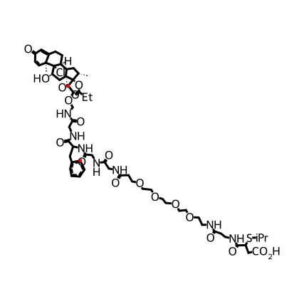 CCC(=O)O[C@]1(C(=O)COCNC(=O)CNC(=O)C(Cc2ccccc2)NC(=O)CNC(=O)CNC(=O)CCOCCOCCOCCOCCNC(=O)CCNC(=O)C(CC(=O)O)SC(C)C)[C@@H](C)CC2[C@@H]3CCC4=CC(=O)C=C[C@]4(C)[C@@]3(Cl)[C@@H](O)C[C@@]21C